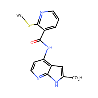 CCCSc1ncccc1C(=O)Nc1ccnc2[nH]c(C(=O)O)cc12